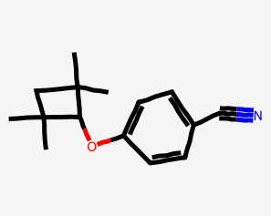 CC1(C)CC(C)(C)C1Oc1ccc(C#N)cc1